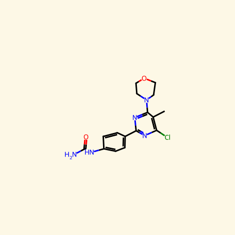 Cc1c(Cl)nc(-c2ccc(NC(N)=O)cc2)nc1N1CCOCC1